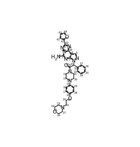 Nc1nc2c(cnn2C(C(=O)N2CCN(c3ccc(OCCN4CCOCC4)cc3)CC2)c2ccccc2)c2nc(-c3ccco3)nn12